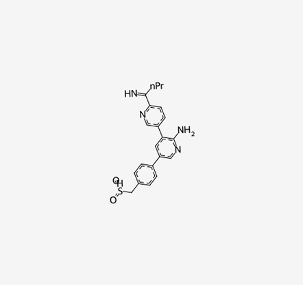 CCCC(=N)c1ccc(-c2cc(-c3ccc(C[SH](=O)=O)cc3)cnc2N)cn1